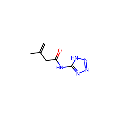 C=C(C)CC(=O)Nc1nnn[nH]1